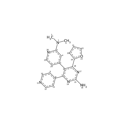 CN(C)c1cc(-c2c(-c3ccncc3)nc(N)nc2-c2ccco2)ccn1